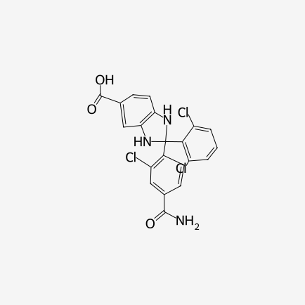 NC(=O)c1ccc(C2(c3c(Cl)cccc3Cl)Nc3ccc(C(=O)O)cc3N2)c(Cl)c1